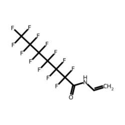 C=CNC(=O)C(F)(F)C(F)(F)C(F)(F)C(F)(F)C(F)(F)C(F)(F)F